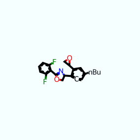 CCCCc1ccc(C2COC(c3c(F)cccc3F)=N2)c(C2CO2)c1